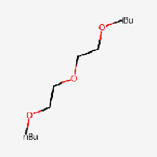 CCCCOCCOCCOC(C)CC